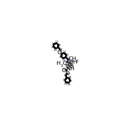 C/C(=C(/C)P(=O)(O)ONC(=O)OCc1ccccc1)c1ccc(OCc2ccccc2)cc1